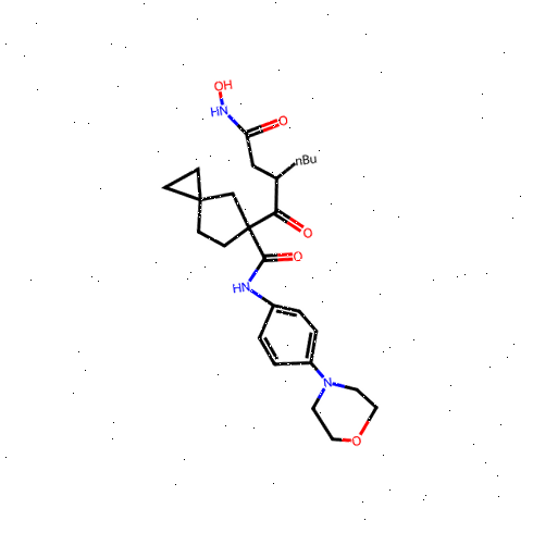 CCCCC(CC(=O)NO)C(=O)C1(C(=O)Nc2ccc(N3CCOCC3)cc2)CCC2(CC2)C1